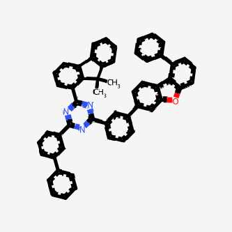 CC1(C)c2ccccc2-c2cccc(-c3nc(-c4cccc(-c5ccccc5)c4)nc(-c4cccc(-c5ccc6c(c5)oc5cccc(-c7ccccc7)c56)c4)n3)c21